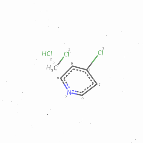 CCl.Cl.Clc1ccncc1